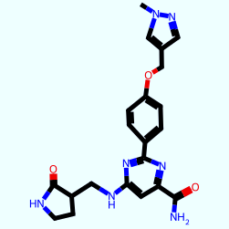 Cn1cc(COc2ccc(-c3nc(NCC4CCNC4=O)cc(C(N)=O)n3)cc2)cn1